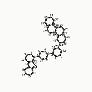 c1cc(-c2ccc(-c3cccc4c3sc3ccccc34)cc2)cc(-c2ccc3ccc4c5ccccc5ccc4c3c2)c1